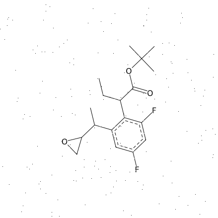 CCC(C(=O)OC(C)(C)C)c1c(F)cc(F)cc1C(C)C1CO1